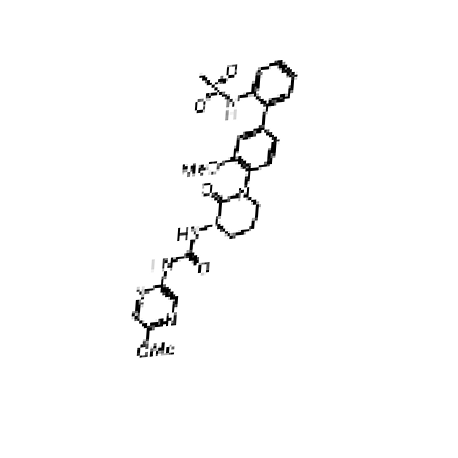 COc1cnc(NC(=O)N[C@@H]2CCCN(c3ccc(-c4ccccc4NS(C)(=O)=O)cc3OC)C2=O)cn1